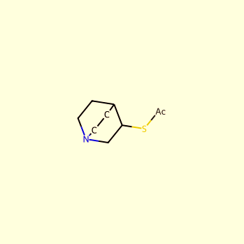 CC(=O)SC1CN2CCC1CC2